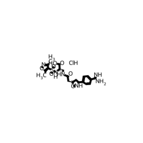 Cc1noc(C)c1S(=O)(=O)N[C@@H](CNC(=O)C[C@H]1CC(c2ccc(C(=N)N)cc2)NO1)C(=O)O.Cl